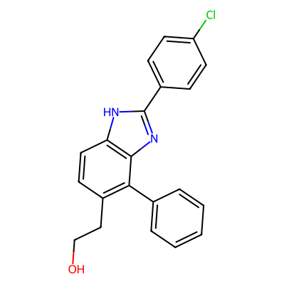 OCCc1ccc2[nH]c(-c3ccc(Cl)cc3)nc2c1-c1ccccc1